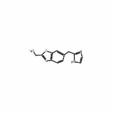 OCc1nc2ccc(Cc3ncc[nH]3)cc2o1